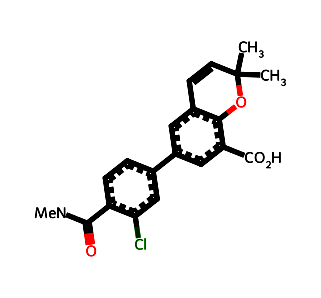 CNC(=O)c1ccc(-c2cc3c(c(C(=O)O)c2)OC(C)(C)C=C3)cc1Cl